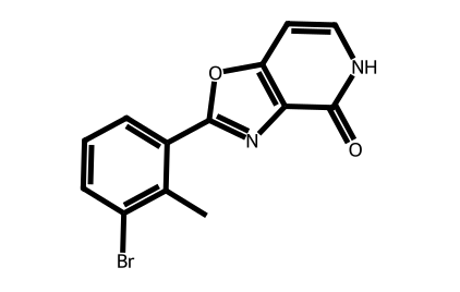 Cc1c(Br)cccc1-c1nc2c(=O)[nH]ccc2o1